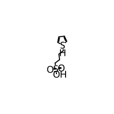 O=S(=O)(O)CCCC[SH]1C=CC=C1